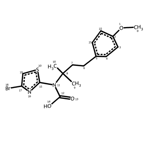 COc1ccc(CCC(C)(C)N(C(=O)O)c2nc(Br)cs2)cc1